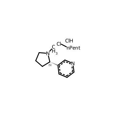 CCCCCCl.CN1CCC[C@H]1c1cccnc1.Cl